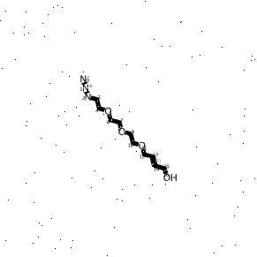 [N-]=[N+]=NCCOCCOCCOC/C=C/CO